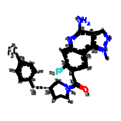 Cn1ncc2c(N)nc3cc(F)c(C(=O)N4CC[C@H](Cc5ccc(C(F)(F)F)cc5)C4)cc3c21